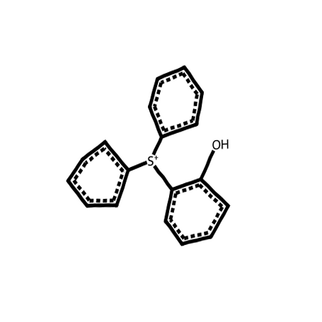 Oc1ccccc1[S+](c1ccccc1)c1ccccc1